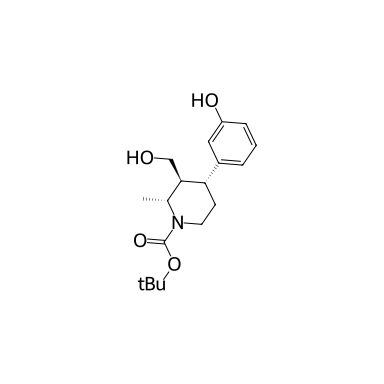 C[C@@H]1[C@@H](CO)[C@H](c2cccc(O)c2)CCN1C(=O)OC(C)(C)C